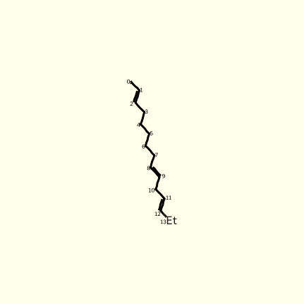 [CH2]/C=C/CCCCC/C=C/C/C=C/CC